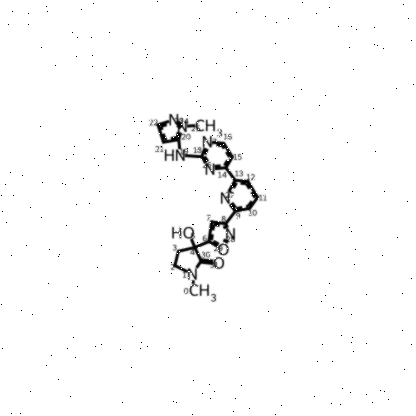 CN1CCC(O)(c2cc(-c3cccc(-c4ccnc(Nc5ccnn5C)n4)n3)no2)C1=O